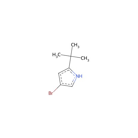 CC(C)(C)c1cc(Br)c[nH]1